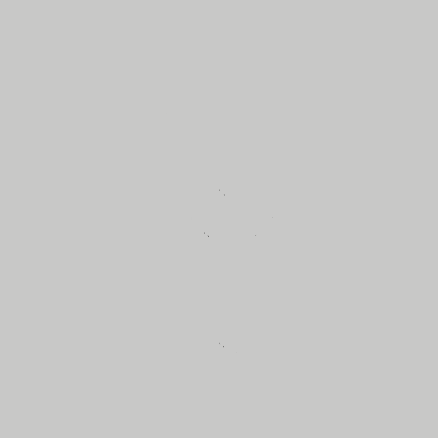 Nc1cc(F)c(C2(c3noc(-c4ccc(C(F)(F)F)cc4)n3)CC2)c(Cl)c1